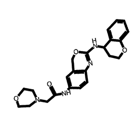 O=C(CN1CCOCC1)Nc1ccc2c(c1)COC(NC1CCOc3ccccc31)=N2